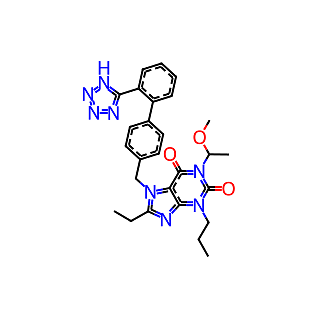 CCCn1c(=O)n(C(C)OC)c(=O)c2c1nc(CC)n2Cc1ccc(-c2ccccc2-c2nnn[nH]2)cc1